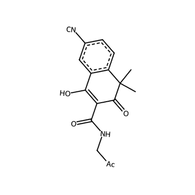 [C-]#[N+]c1ccc2c(c1)C(O)=C(C(=O)NCC(C)=O)C(=O)C2(C)C